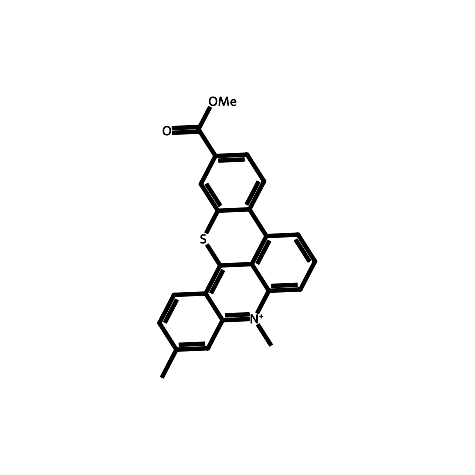 COC(=O)c1ccc2c(c1)Sc1c3ccc(C)cc3[n+](C)c3cccc-2c13